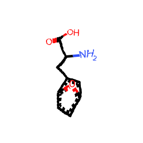 NC(Cc1cc2ccc1o2)C(=O)O